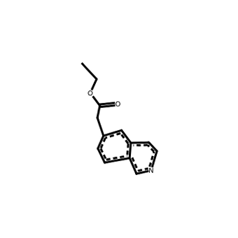 CCOC(=O)Cc1ccc2cnccc2c1